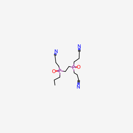 CCCP(=O)(CCC#N)CCP(=O)(CCC#N)CCC#N